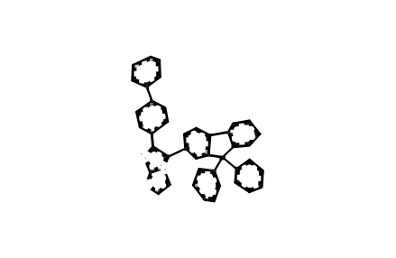 c1ccc(-c2ccc(-c3nc4occn4c3-c3ccc4c(c3)C(c3ccccc3)(c3ccccc3)c3ccccc3-4)cc2)cc1